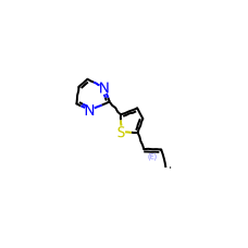 [CH2]/C=C/c1ccc(-c2ncccn2)s1